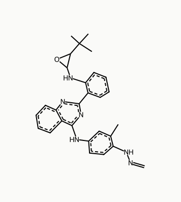 C=NNc1ccc(Nc2nc(-c3ccccc3NC3OC3C(C)(C)C)nc3ccccc23)cc1C